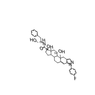 CC12Cc3cnn(-c4ccc(F)cc4)c3C=C1CCC1C2[C@@H](O)CC2(C)C1CC[C@]2(O)C(=O)N[C@H](CO)Cc1ccccc1